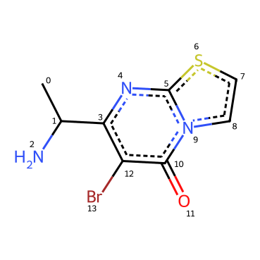 CC(N)c1nc2sccn2c(=O)c1Br